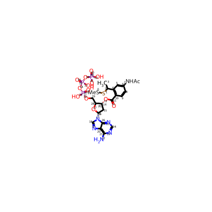 CSSC(C)c1cc(NC(C)=O)ccc1C(=O)O[C@@H]1C[C@H](n2cnc3c(N)ncnc32)OC1COP(=O)(O)OP(=O)(O)OP(=O)(O)O